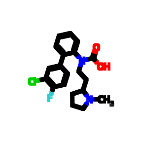 CN1CCCC1CCN(C(=O)O)c1ccccc1-c1ccc(F)c(Cl)c1